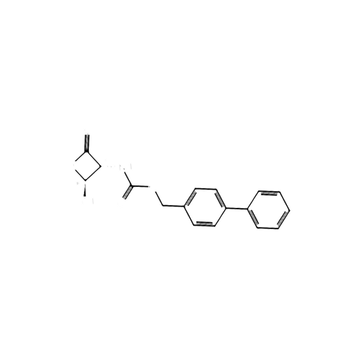 C[C@H]1OC(=O)[C@@H]1NC(=O)OCc1ccc(-c2ccccc2)cc1